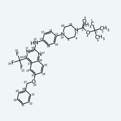 CC(C)(C)OC(=O)N1CCN(c2ccc(Nc3nc(C(F)(F)F)c4cc(OCc5ccccc5)ccc4n3)cc2)CC1